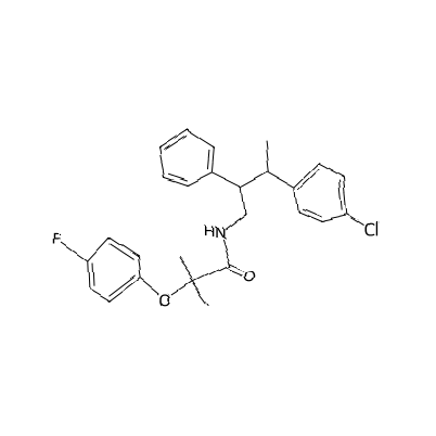 CC(c1ccc(Cl)cc1)C(CNC(=O)C(C)(C)Oc1ccc(F)cc1)c1ccccc1